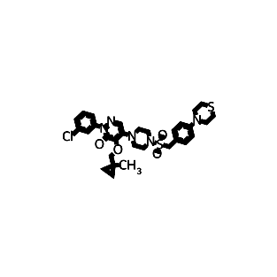 CC1(COc2c(N3CCN(S(=O)(=O)Cc4ccc(N5CCSCC5)cc4)CC3)cnn(-c3cccc(Cl)c3)c2=O)CC1